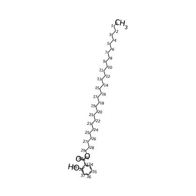 CCCCCCCCCCCCCCCCCCCCCCCCCCCCCCOC(=O)c1ccccc1O